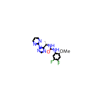 COc1cc(F)c(F)cc1NC(=O)N[C@@H](C)c1ncnn1-c1ncccn1